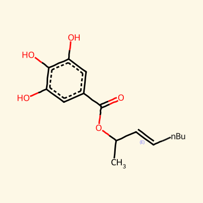 CCCC/C=C/C(C)OC(=O)c1cc(O)c(O)c(O)c1